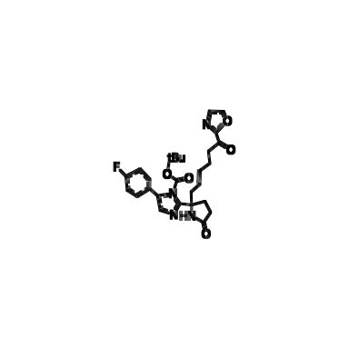 CC(C)(C)OC(=O)n1c(-c2ccc(F)cc2)cnc1C1(CC=CCCC(=O)c2ncco2)CCC(=O)N1